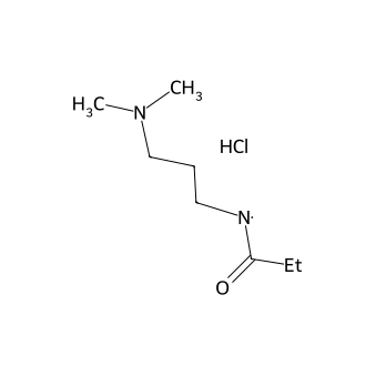 CCC(=O)[N]CCCN(C)C.Cl